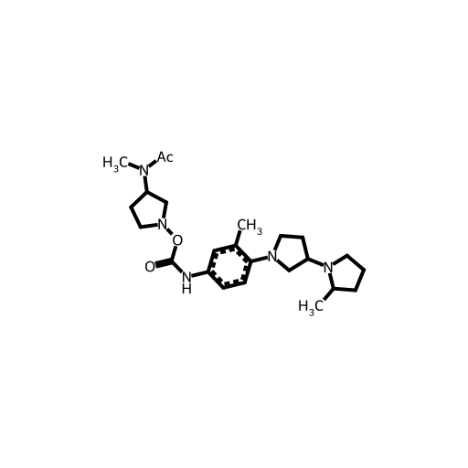 CC(=O)N(C)C1CCN(OC(=O)Nc2ccc(N3CCC(N4CCCC4C)C3)c(C)c2)C1